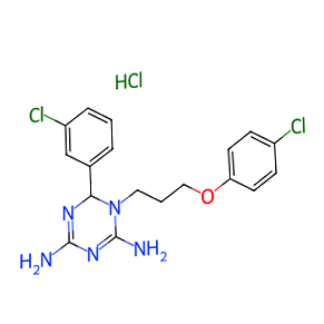 Cl.NC1=NC(c2cccc(Cl)c2)N(CCCOc2ccc(Cl)cc2)C(N)=N1